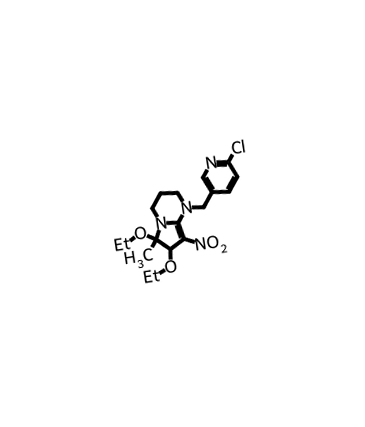 CCOC1C([N+](=O)[O-])=C2N(Cc3ccc(Cl)nc3)CCCN2C1(C)OCC